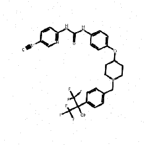 [C-]#[N+]c1ccc(NC(=O)Nc2ccc(OC3CCN(Cc4ccc(C(O)(C(F)(F)F)C(F)(F)F)cc4)CC3)cc2)nc1